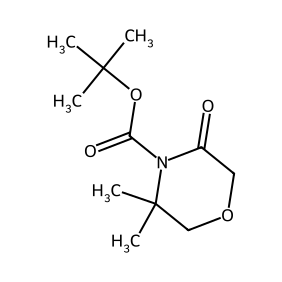 CC(C)(C)OC(=O)N1C(=O)COCC1(C)C